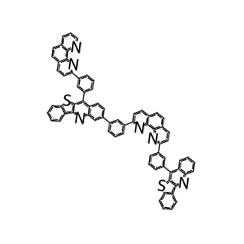 c1cc(-c2ccc3c(-c4cccc(-c5ccc6ccc7cccnc7c6n5)c4)c4sc5ccccc5c4nc3c2)cc(-c2ccc3ccc4ccc(-c5cccc(-c6c7ccccc7nc7c6sc6ccccc67)c5)nc4c3n2)c1